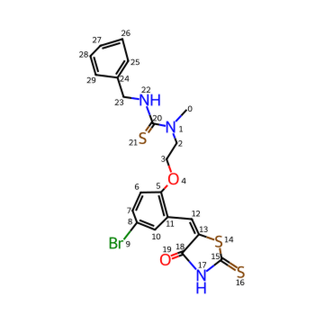 CN(CCOc1ccc(Br)cc1C=C1SC(=S)NC1=O)C(=S)NCc1ccccc1